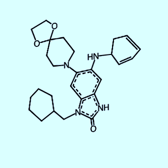 O=c1[nH]c2cc(NC3C=CC=CC3)c(N3CCC4(CC3)OCCO4)cc2n1CC1CCCCC1